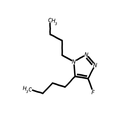 CCCCc1c(F)nnn1CCCC